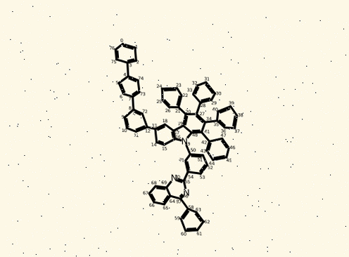 c1ccc(-c2ccc(-c3cccc(-c4ccc5c(c4)c4c(-c6ccccc6)c(-c6ccccc6)c(-c6ccccc6)c(-c6ccccc6)c4n5-c4cccc(-c5nc(-c6ccccc6)c6ccccc6n5)c4)c3)cc2)cc1